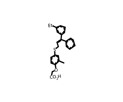 CCc1cccc(C(=CCSc2ccc(OCC(=O)O)c(C)c2)c2ccccc2)c1